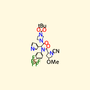 COC1CC(C(=O)N(c2ccc(S(F)(F)(F)(F)F)cc2)C(C(=O)N2CCN(C(=O)OC(C)(C)C)C2)c2cccnc2)N(C#N)C1